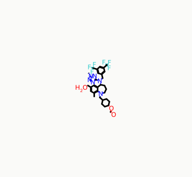 Cc1cc(C)c2c(c1)[C@@H](N(Cc1cc(C(F)(F)F)cc(C(F)(F)F)c1)c1nnn(C)n1)CCCN2CC1CCC(OC=O)CC1.O